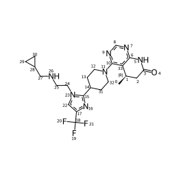 C[C@@H]1CC(=O)Nc2ncnc(N3CCC(c4nc(C(F)(F)F)cn4CCNCC4CC4)CC3)c21